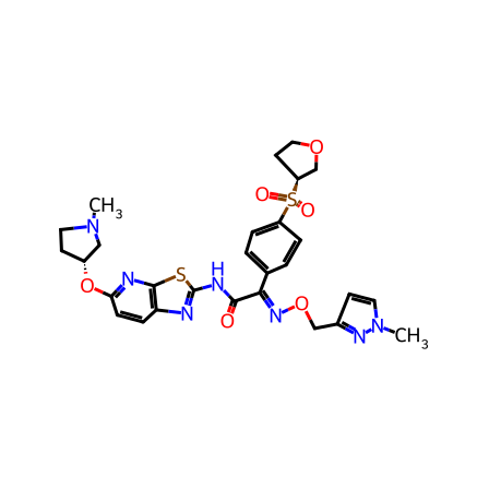 CN1CC[C@@H](Oc2ccc3nc(NC(=O)/C(=N/OCc4ccn(C)n4)c4ccc(S(=O)(=O)[C@H]5CCOC5)cc4)sc3n2)C1